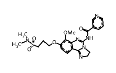 COc1c(OCCCS(=O)(=O)N(C)C)ccc2c1N=C(NC(=O)c1cccnc1)N1CCN=C21